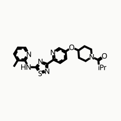 Cc1cccnc1Nc1nc(-c2ccc(OC3CCN(C(=O)C(C)C)CC3)cn2)ns1